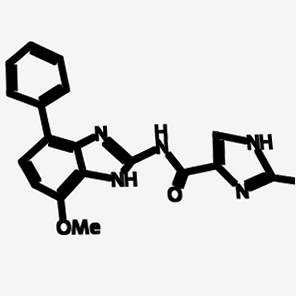 COc1ccc(-c2ccccc2)c2nc(NC(=O)c3c[nH]c(C)n3)[nH]c12